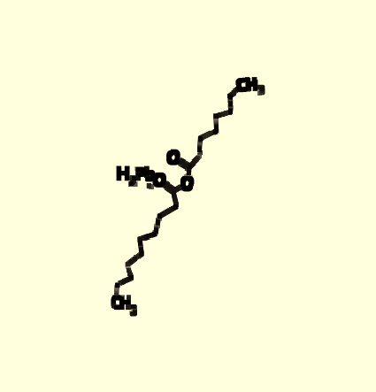 CCCCCCCCCC(=O)OC(=O)CCCCCCC.[PbH2]